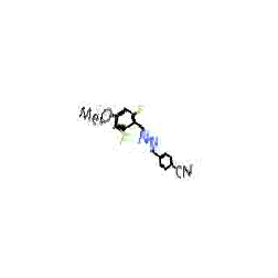 COc1cc(F)c(/C=N/N=C/c2ccc(C#N)cc2)c(F)c1